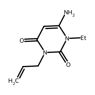 C=CCn1c(=O)cc(N)n(CC)c1=O